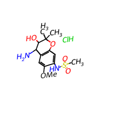 COc1cc2c(cc1NS(C)(=O)=O)OC(C)(C)C(O)C2N.Cl